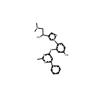 Cc1nc(Oc2cc(C#N)ccc2-n2cc(C(O)CN(C)C)cn2)cc(-c2ccccc2)n1